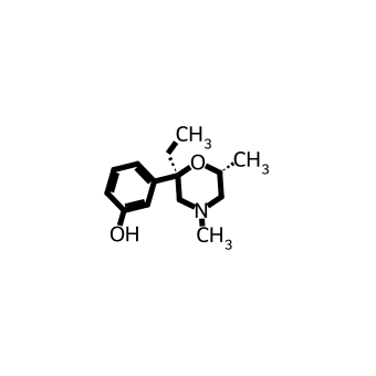 CC[C@@]1(c2cccc(O)c2)CN(C)C[C@@H](C)O1